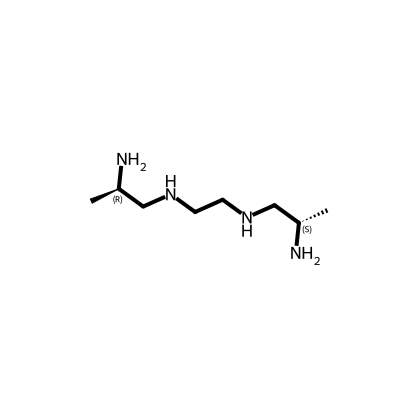 C[C@H](N)CNCCNC[C@@H](C)N